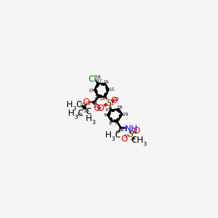 C[C@H](NS(C)(=O)=O)c1ccc(S(=O)(=O)c2ccc(Cl)cc2C(=O)OC(C)(C)C)cc1